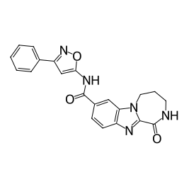 O=C(Nc1cc(-c2ccccc2)no1)c1ccc2nc3n(c2c1)CCCNC3=O